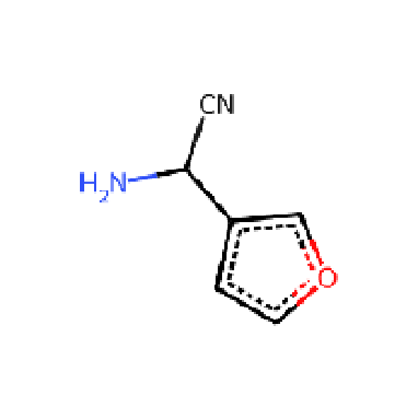 N#CC(N)c1ccoc1